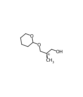 C[C@H](CO)COC1CCCCO1